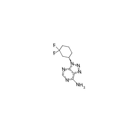 Nc1ncnc2c1nnn2[C@@H]1CCCC(F)(F)C1